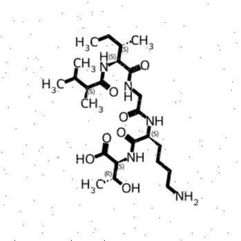 CC[C@H](C)[C@H](NC(=O)[C@@H](C)C(C)C)C(=O)NCC(=O)N[C@@H](CCCCN)C(=O)N[C@H](C(=O)O)[C@@H](C)O